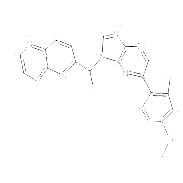 COc1ccc(-c2cnc3ncn(C(C)c4ccc5ncccc5c4)c3n2)c(C)c1